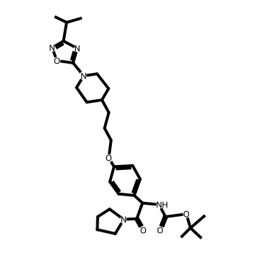 CC(C)c1noc(N2CCC(CCCOc3ccc(C(NC(=O)OC(C)(C)C)C(=O)N4CCCC4)cc3)CC2)n1